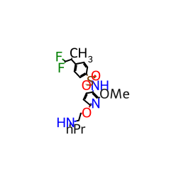 CCCNCCOc1ccc(NS(=O)(=O)c2ccc([C@@H](C)C(F)F)cc2)c(OC)n1